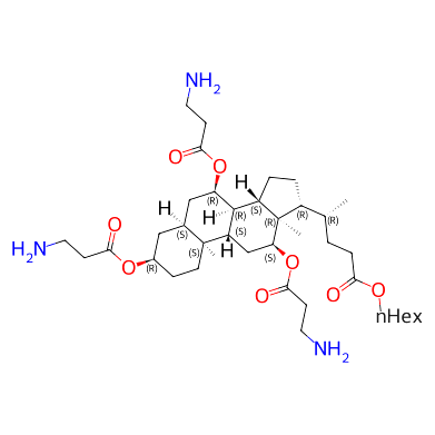 CCCCCCOC(=O)CC[C@@H](C)[C@H]1CC[C@H]2[C@@H]3[C@H](OC(=O)CCN)C[C@@H]4C[C@H](OC(=O)CCN)CC[C@]4(C)[C@H]3C[C@H](OC(=O)CCN)[C@]12C